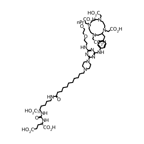 CCCOCCOCCNc1nc(Nc2ccc(CC3CN(CC(=O)O)CCN(CC(=O)O)CCN(CC(=O)O)CCN3CC(=O)O)cc2)nc(N2CCN(CCCCCCCCCCC(=O)NCCCC[C@H](NC(=O)N[C@@H](CCC(=O)O)C(=O)O)C(=O)O)CC2)n1